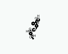 C#CC(=O)Nc1ccc2[nH]c(=O)n(C3CCN(Cc4ccc(-c5nc6cc[nH]c(=O)c6cc5-c5ccccc5)cc4)CC3)c2c1